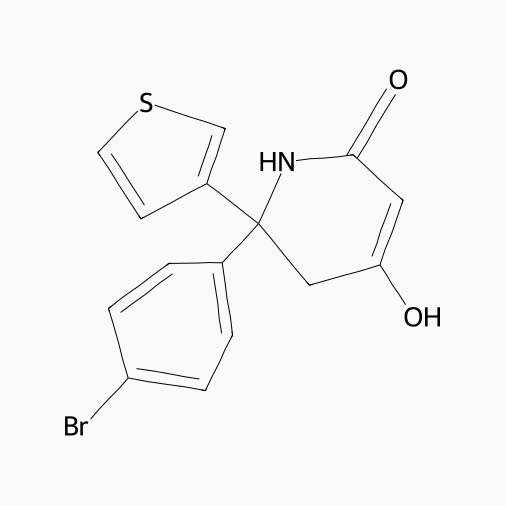 O=C1C=C(O)CC(c2ccc(Br)cc2)(c2ccsc2)N1